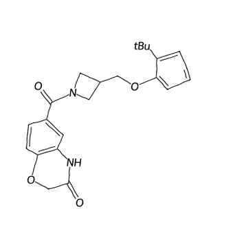 CC(C)(C)c1ccccc1OCC1CN(C(=O)c2ccc3c(c2)NC(=O)CO3)C1